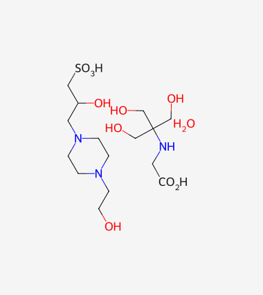 O.O=C(O)CNC(CO)(CO)CO.O=S(=O)(O)CC(O)CN1CCN(CCO)CC1